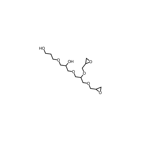 OCCCOCC(O)COCC(COCC1CO1)OCC1CO1